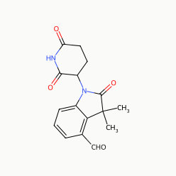 CC1(C)C(=O)N(C2CCC(=O)NC2=O)c2cccc(C=O)c21